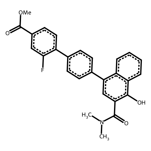 COC(=O)c1ccc(-c2ccc(-c3cc(C(=O)N(C)C)c(O)c4ccccc34)cc2)c(F)c1